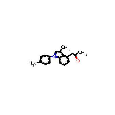 CC(=O)Cc1cccc2c1c(C)cn2-c1ccc(C)cc1